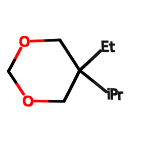 CCC1(C(C)C)COCOC1